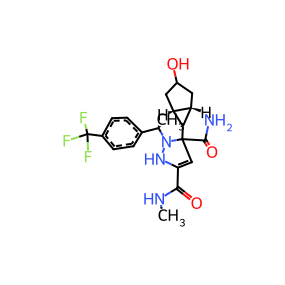 CNC(=O)C1=CC(C(N)=O)(C2[C@H]3CC(O)C[C@@H]23)N([C@H](C)c2ccc(C(F)(F)F)cc2)N1